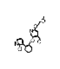 COCCOc1cc(C=O)c(OCC2=C(c3cccnc3Cl)CCCC2)cn1